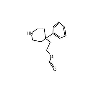 O=COCCC1(c2ccccc2)CCNCC1